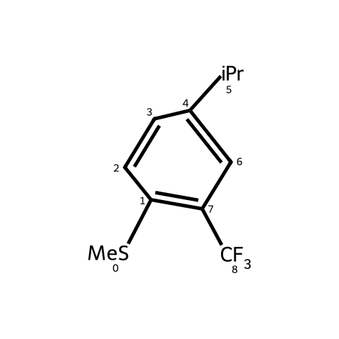 CSc1ccc(C(C)C)cc1C(F)(F)F